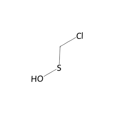 OSCCl